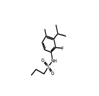 CCCS(=O)(=O)Nc1ccc(C)c(C(C)C)c1F